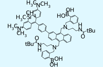 CN(C)c1ccc2c(c1)[Si](C)(C)C1=CC(=[N+](C)C)C=CC1=C2c1ccc(-c2ccc3c(CN(CCCNC(=O)C(C)(C)C)Cc4ccccc4B(O)O)c4ccccc4c(CN(CCCNC(=O)C(C)(C)C)Cc4ccccc4B(O)O)c3c2)cc1